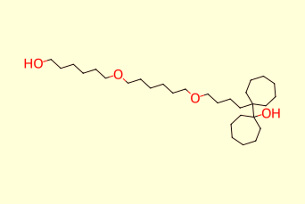 OCCCCCCOCCCCCCOCCCCC1(C2(O)CCCCCC2)CCCCCC1